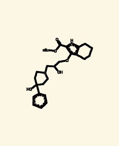 CCCCOC(=O)c1[nH]c2c(c1OCC(O)CN1CCC(O)(c3ccccc3)CC1)CCCC2